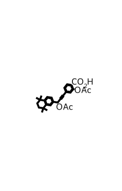 CC(=O)Oc1cc(C#CC(OC(C)=O)c2ccc3c(c2)C(C)(C)CCC3(C)C)ccc1C(=O)O